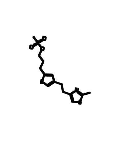 Cc1nc(CCc2csc(CCCOS(C)(=O)=O)c2)cs1